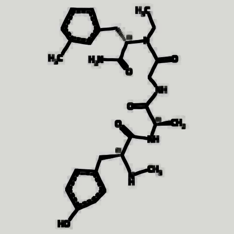 CCN(C(=O)CNC(=O)[C@@H](C)NC(=O)[C@H](Cc1ccc(O)cc1)NC)[C@@H](Cc1cccc(C)c1)C(N)=O